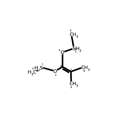 C[SiH2]OC(O[SiH2]C)=C(C)C